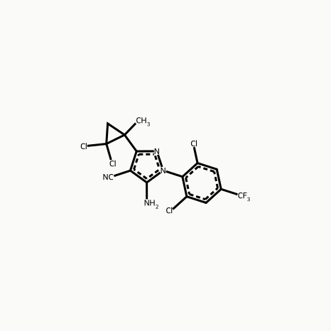 CC1(c2nn(-c3c(Cl)cc(C(F)(F)F)cc3Cl)c(N)c2C#N)CC1(Cl)Cl